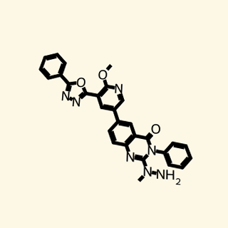 COc1ncc(-c2ccc3nc(N(C)N)n(-c4ccccc4)c(=O)c3c2)cc1-c1nnc(-c2ccccc2)o1